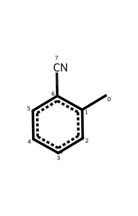 Cc1c[c]ccc1C#N